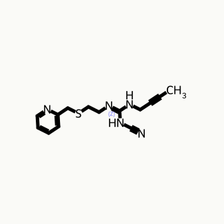 CC#CCN/C(=N/CCSCc1ccccn1)NC#N